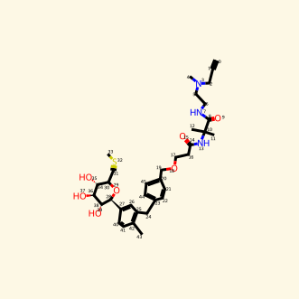 C#CCN(C)CCNC(=O)C(C)(C)NC(=O)CCOCc1ccc(Cc2cc([C@@H]3OC(C#SC)[C@@H](O)[C@H](O)[C@H]3O)ccc2C)cc1